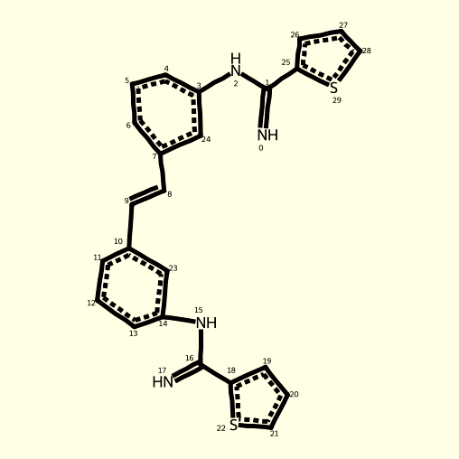 N=C(Nc1cccc(/C=C/c2cccc(NC(=N)c3cccs3)c2)c1)c1cccs1